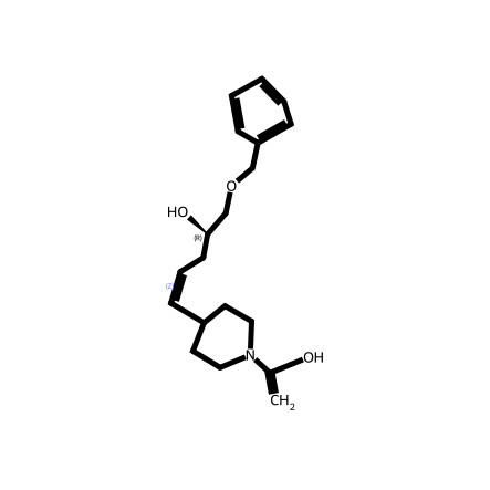 C=C(O)N1CCC(/C=C\C[C@@H](O)COCc2ccccc2)CC1